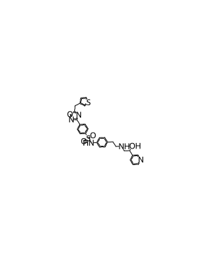 O=S(=O)(Nc1ccc(CCNCC(O)c2cccnc2)cc1)c1ccc(-c2noc(Cc3ccsc3)n2)cc1